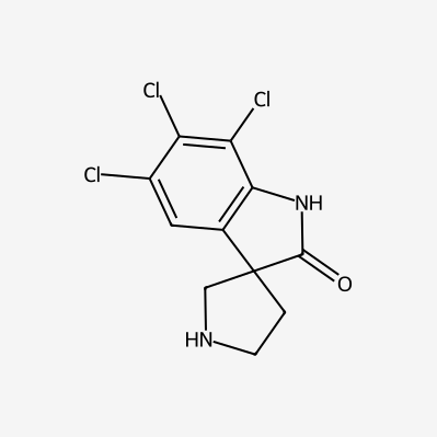 O=C1Nc2c(cc(Cl)c(Cl)c2Cl)C12CCNC2